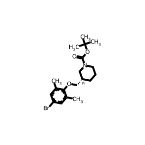 Cc1cc(Br)cc(C)c1OC[C@H]1CCCN(C(=O)OC(C)(C)C)C1